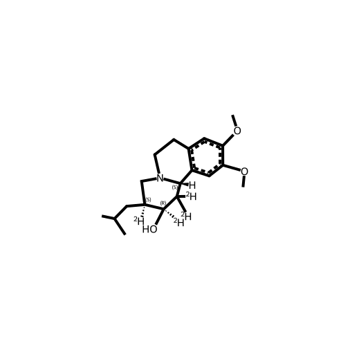 [2H]C1([2H])[C@H]2c3cc(OC)c(OC)cc3CCN2C[C@]([2H])(CC(C)C)[C@]1([2H])O